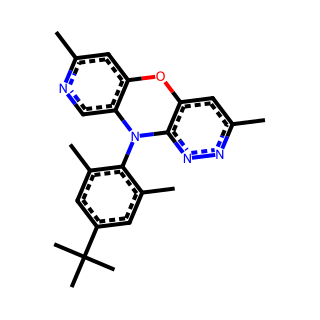 Cc1cc2c(cn1)N(c1c(C)cc(C(C)(C)C)cc1C)c1nnc(C)cc1O2